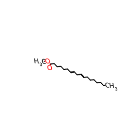 CCCCCCCC=CCC=CCCCCCC(=O)OC